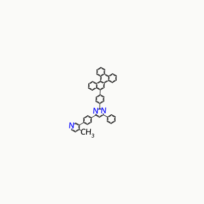 Cc1ccncc1-c1ccc(-c2cc(-c3ccccc3)nc(-c3ccc(-c4cc5c6ccccc6c6ccccc6c5c5ccccc45)cc3)n2)cc1